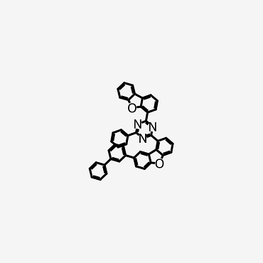 c1ccc(-c2cccc(-c3ccc4oc5cccc(-c6nc(-c7ccccc7)nc(-c7cccc8c7oc7ccccc78)n6)c5c4c3)c2)cc1